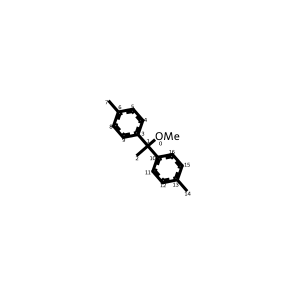 COC(C)(c1ccc(C)cc1)c1ccc(C)cc1